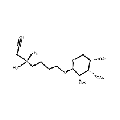 C#CC[N+](C)(C)CCCCO[C@H]1OC[C@H](OC(C)=O)[C@H](OC(C)=O)[C@@H]1OC(C)=O